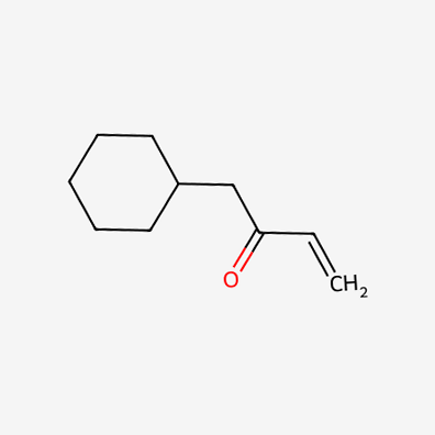 C=CC(=O)CC1CCCCC1